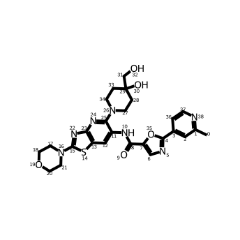 Cc1cc(-c2ncc(C(=O)Nc3cc4sc(N5CCOCC5)nc4nc3N3CCC(O)(CO)CC3)o2)ccn1